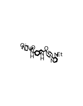 CCN(C)c1cccnc1N1CCN(C(=O)c2cc3cc(NC(=O)N4CC[N+](C)([O-])CC4)ccc3[nH]2)CC1